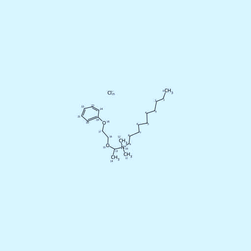 CCCCCCCCCC[N+](C)(C)C(C)OCCOc1ccccc1.[Cl-]